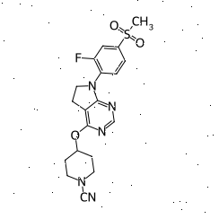 CS(=O)(=O)c1ccc(N2CCc3c(OC4CCN(C#N)CC4)ncnc32)c(F)c1